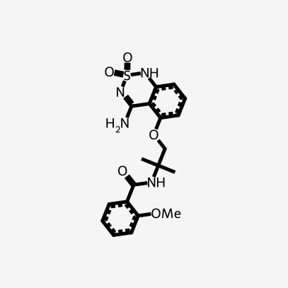 COc1ccccc1C(=O)NC(C)(C)COc1cccc2c1C(N)=NS(=O)(=O)N2